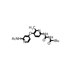 CC(=O)Nc1cc(Oc2ccc(NC(=O)NC(=O)C(C)(C)C)nc2C)ccn1